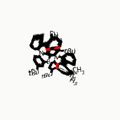 Cc1ccccc1-c1ccccc1N1c2ccc(C(C)(C)C)cc2B2C3=CC(C(C)(C)C)C(C)C=C3N(c3ccccc3C3C=CC=CC3(C)C)c3c(C(C)(C)C)ccc1c32